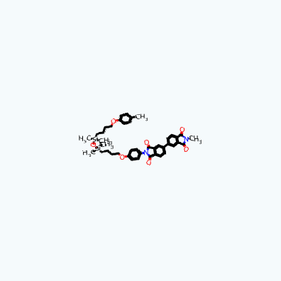 Cc1ccc(OCCCC[Si](C)(C)O[Si](C)(C)CCCCOc2ccc(N3C(=O)c4ccc(-c5ccc6c(c5)C(=O)N(C)C6=O)cc4C3=O)cc2)cc1